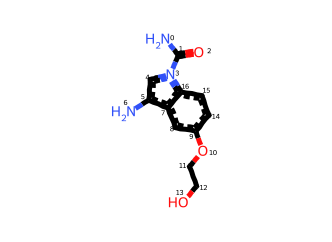 NC(=O)n1cc(N)c2cc(OCCO)ccc21